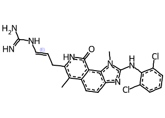 Cc1c(C/C=C/NC(=N)N)[nH]c(=O)c2c1ccc1nc(Nc3c(Cl)cccc3Cl)n(C)c12